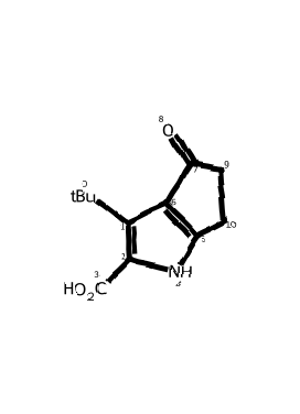 CC(C)(C)c1c(C(=O)O)[nH]c2c1C(=O)CC2